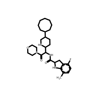 Cc1ccc(F)c2c1NC(C(=O)NC(C(=O)N1CCOCC1)C1CCC(C3CCCCCCC3)CN1)C2